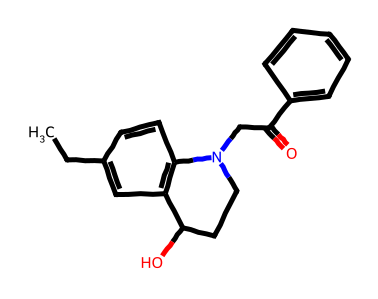 CCc1ccc2c(c1)C(O)CCN2CC(=O)c1ccccc1